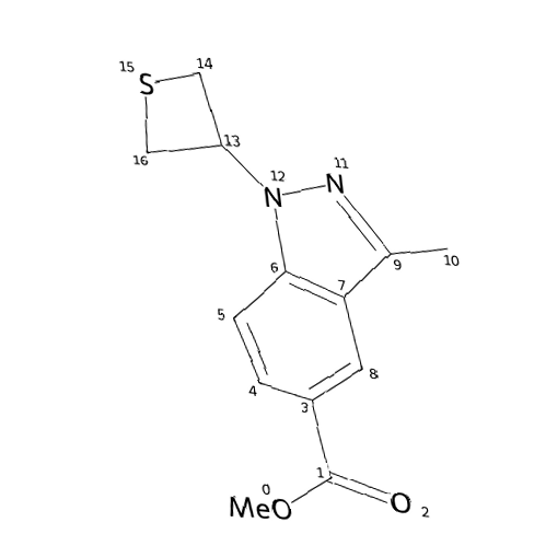 COC(=O)c1ccc2c(c1)c(C)nn2C1CSC1